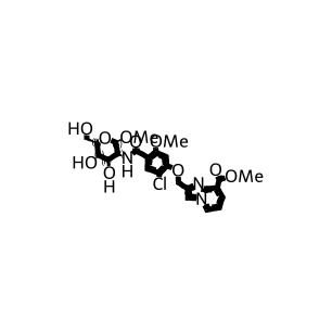 COC(=O)c1cccn2cc(COc3cc(OC)c(C(=O)N[C@H]4[C@@H](OC)O[C@H](CO)[C@@H](O)[C@@H]4O)cc3Cl)nc12